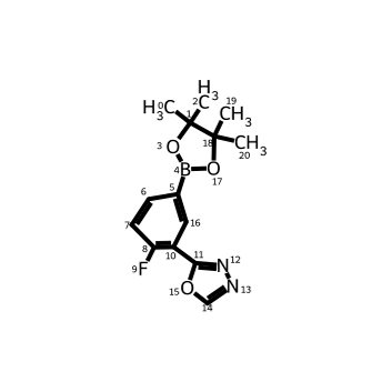 CC1(C)OB(c2ccc(F)c(-c3nnco3)c2)OC1(C)C